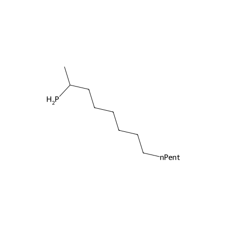 CCCCCCCCCCCC(C)P